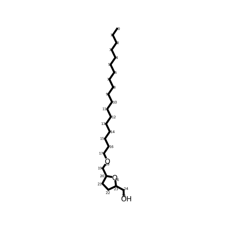 CCCCCCCCCCCCCCCCCCOCC1CCC(CO)O1